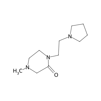 CN1CCN(CCN2CCCC2)C(=O)C1